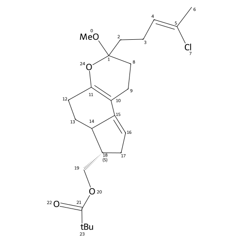 COC1(CCC=C(C)Cl)CCC2=C(CCC3C2=CC[C@@H]3COC(=O)C(C)(C)C)O1